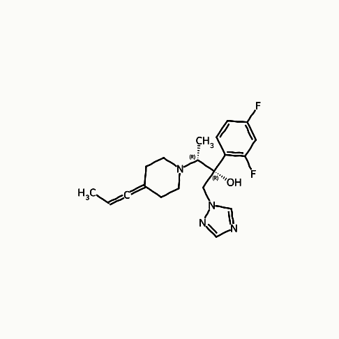 CC=C=C1CCN([C@H](C)[C@](O)(Cn2cncn2)c2ccc(F)cc2F)CC1